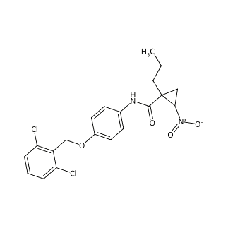 CCCC1(C(=O)Nc2ccc(OCc3c(Cl)cccc3Cl)cc2)CC1[N+](=O)[O-]